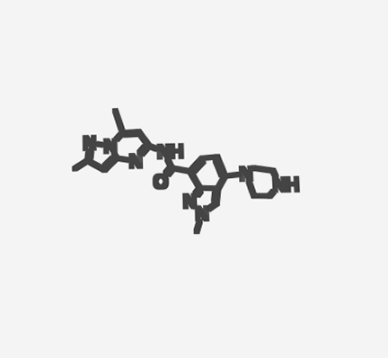 Cc1cc2nc(NC(=O)c3ccc(N4CCNCC4)c4cn(C)nc34)cc(C)n2n1